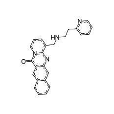 O=c1c2cc3ccccc3cc2nc2c(CNCCc3ccccn3)cccn12